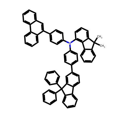 CC1(C)c2ccccc2-c2c(N(c3ccc(-c4ccc5c(c4)C(c4ccccc4)(c4ccccc4)c4ccccc4-5)cc3)c3ccc(-c4cc5ccccc5c5ccccc45)cc3)cccc21